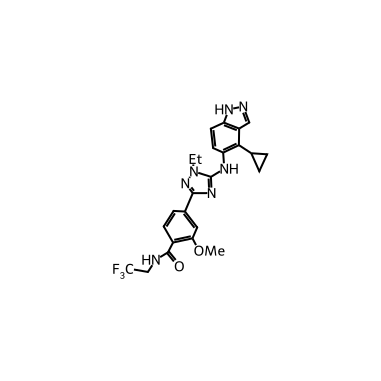 CCn1nc(-c2ccc(C(=O)NCC(F)(F)F)c(OC)c2)nc1Nc1ccc2[nH]ncc2c1C1CC1